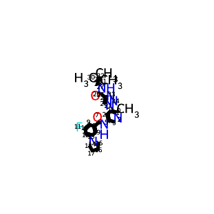 Cc1ncc(NC(=O)c2cc(F)cc(N3CCCC3)c2)cc1-n1cc(C(=O)NCC(C)(C)C)nn1